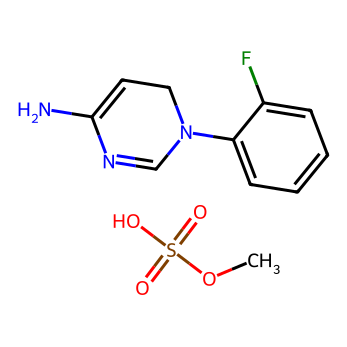 COS(=O)(=O)O.NC1=CCN(c2ccccc2F)C=N1